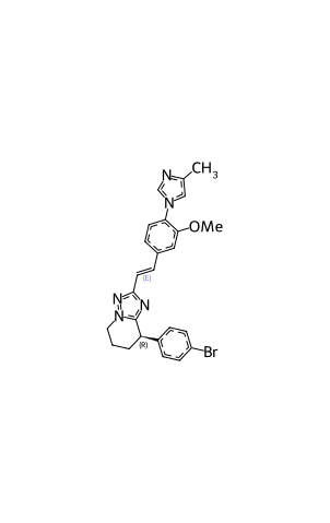 COc1cc(/C=C/c2nc3n(n2)CCC[C@@H]3c2ccc(Br)cc2)ccc1-n1cnc(C)c1